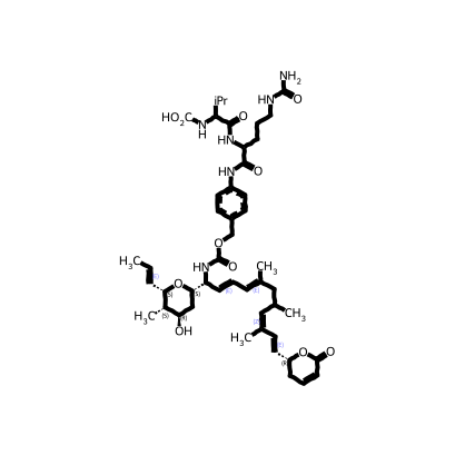 C/C=C/[C@@H]1O[C@H](C(/C=C/C=C(\C)CC(C)/C=C(C)\C=C\[C@H]2CC=CC(=O)O2)NC(=O)OCc2ccc(NC(=O)C(CCCNC(N)=O)NC(=O)C(NC(=O)O)C(C)C)cc2)C[C@@H](O)[C@@H]1C